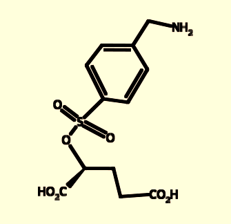 NCc1ccc(S(=O)(=O)O[C@@H](CCC(=O)O)C(=O)O)cc1